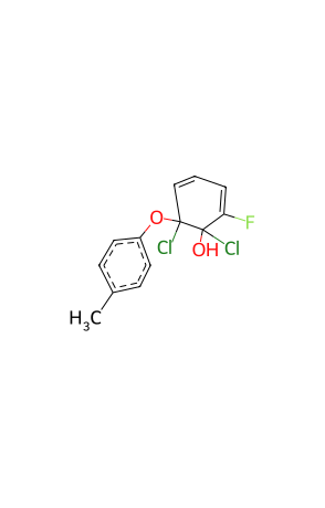 Cc1ccc(OC2(Cl)C=CC=C(F)C2(O)Cl)cc1